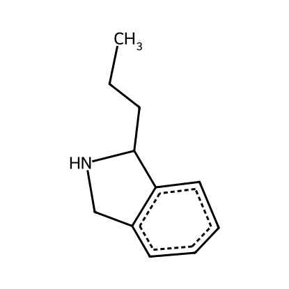 CCCC1NCc2ccccc21